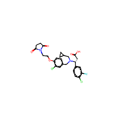 O=C(O)C[C@H](c1ccc(Cl)c(F)c1)N(Cc1ccc(OCCN2C(=O)CCC2=O)c(Cl)c1)CC1CC1